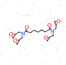 O=C(CCCCCC(=O)N(CC1CO1)CC1CO1)N(CC1CO1)CC1CO1